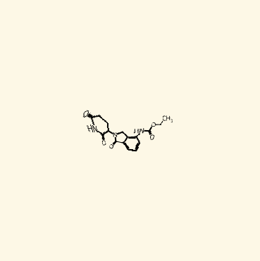 CCOC(=O)Nc1cccc2c1CN(C1CCC(=O)NC1=O)C2=O